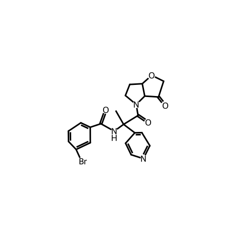 CC(NC(=O)c1cccc(Br)c1)(C(=O)N1CCC2OCC(=O)C21)c1ccncc1